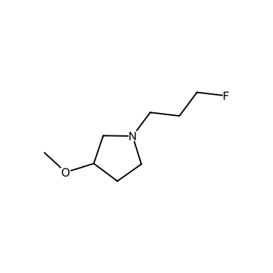 COC1CCN(CCCF)C1